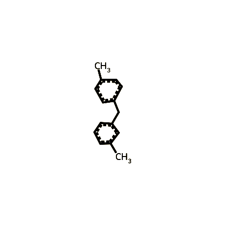 Cc1ccc(Cc2cccc(C)c2)cc1